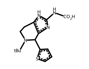 CC(C)(C)N1CCc2[nH]c(NC(=O)O)nc2C1c1cccs1